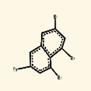 Brc1cc(Br)c2c(Br)cc(Br)cc2c1